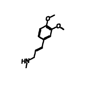 CNCC=Cc1ccc(OC)c(OC)c1